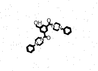 O=C(c1cc(CO)cc(C(=O)N2CCN(c3ccccc3)CC2)c1)N1CCN(c2ccccc2)CC1